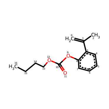 C=C(C)c1ccccc1OC(=O)OCCCC